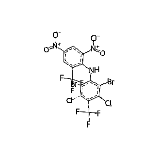 O=[N+]([O-])c1cc([N+](=O)[O-])c(Nc2c(Br)c(Cl)c(C(F)(F)F)c(Cl)c2Br)c(C(F)(F)F)c1